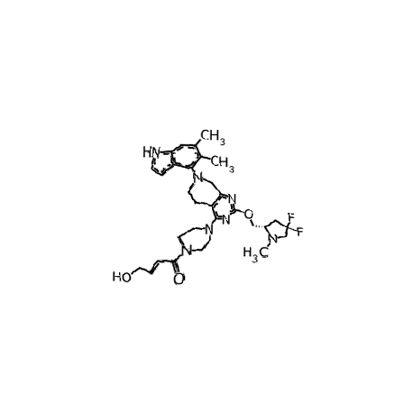 Cc1cc2[nH]ccc2c(N2CCc3c(nc(OC[C@@H]4CC(F)(F)CN4C)nc3N3CCN(C(=O)/C=C/CO)CC3)C2)c1C